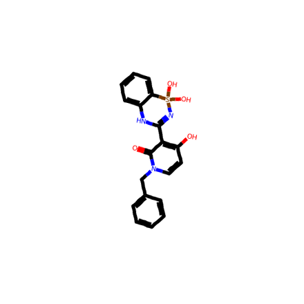 O=c1c(C2=NS(O)(O)c3ccccc3N2)c(O)ccn1Cc1ccccc1